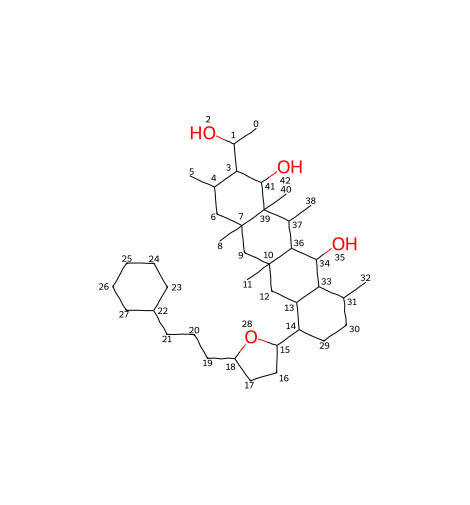 CC(O)C1C(C)CC2(C)CC3(C)CC4C(C5CCC(CCCC6CCCCC6)O5)CCC(C)C4C(O)C3C(C)C2(C)C1O